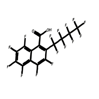 O=C(O)c1c(C(F)(F)C(F)(F)C(F)(F)C(F)(F)F)c(F)c(F)c2c(F)c(F)c(F)c(F)c12